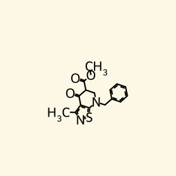 COC(=O)C1CN(Cc2ccccc2)c2snc(C)c2C1=O